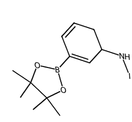 CC1(C)OB(C2=CC(NI)CC=C2)OC1(C)C